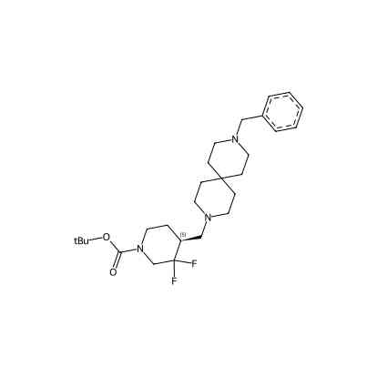 CC(C)(C)OC(=O)N1CC[C@@H](CN2CCC3(CCN(Cc4ccccc4)CC3)CC2)C(F)(F)C1